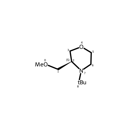 COC[C@H]1COCCN1C(C)(C)C